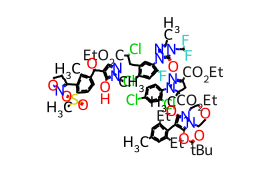 CCOC(=O)C(Cl)Cc1cc(-n2nc(C)n(C(F)F)c2=O)c(F)cc1Cl.CCOC(=O)C1=NN(c2ccc(Cl)cc2Cl)C(C)(C(=O)OCC)C1.CCc1cc(C)cc(CC)c1-c1c(OC(=O)C(C)(C)C)n2n(c1=O)CCOCC2.Cc1c(C(=O)c2cnn(C)c2O)ccc(S(C)(=O)=O)c1C1=NOCC1